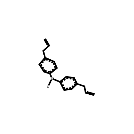 C=CCc1ccc([S+]([O-])c2ccc(CC=C)cc2)cc1